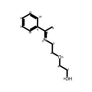 C/C(=N\CCOCCO)c1ccccc1